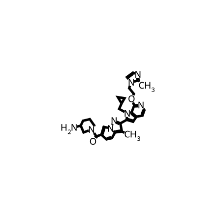 Cc1c(-c2cc3ccnc(OCCn4ccnc4C)c3n2CC2CC2)nn2cc(C(=O)N3CCCC(N)C3)ccc12